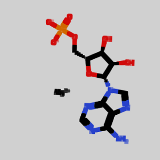 Nc1ncnc2c1ncn2[C@@H]1O[C@H](COP(=O)([O-])[O-])[C@@H](O)[C@H]1O.[Mg+2]